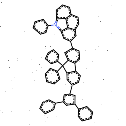 c1ccc(-c2cc(-c3ccccc3)cc(-c3ccc4c(c3)C(c3ccccc3)(c3ccccc3)c3cc(-c5cc6ccc7cccc8c7c6c(c5)n8-c5ccccc5)ccc3-4)c2)cc1